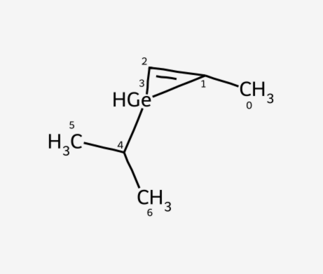 C[C]1=[CH][GeH]1[CH](C)C